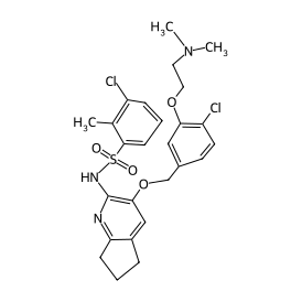 Cc1c(Cl)cccc1S(=O)(=O)Nc1nc2c(cc1OCc1ccc(Cl)c(OCCN(C)C)c1)CCC2